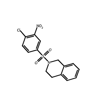 O=[N+]([O-])c1cc(S(=O)(=O)N2CCc3ccccc3C2)ccc1Cl